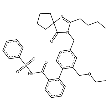 CCCCC1=NC2(CCCC2)C(=O)N1Cc1ccc(-c2ccccc2C(=O)NS(=O)(=O)c2ccccc2)c(COCC)c1